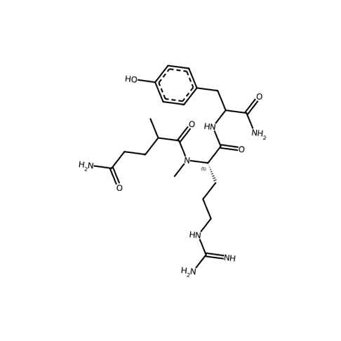 CC(CCC(N)=O)C(=O)N(C)[C@@H](CCCNC(=N)N)C(=O)NC(Cc1ccc(O)cc1)C(N)=O